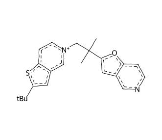 CC(C)(C)c1cc2c[n+](CC(C)(C)c3cc4cnccc4o3)ccc2s1